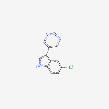 Clc1ccc2[nH]cc(-c3cncnc3)c2c1